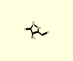 Nc1c([C]=O)[nH][nH]c1=O